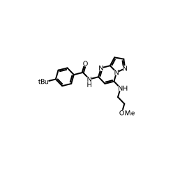 COCCNc1cc(NC(=O)c2ccc(C(C)(C)C)cc2)nc2ccnn12